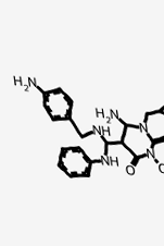 CN1C(=O)C(C(NCc2ccc(N)cc2)Nc2ccccc2)C(N)N(CC2CC2)C1=O